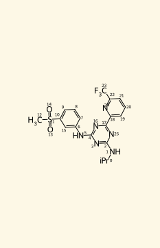 CC(C)Nc1nc(Nc2cccc(S(C)(=O)=O)c2)nc(-c2cccc(C(F)(F)F)n2)n1